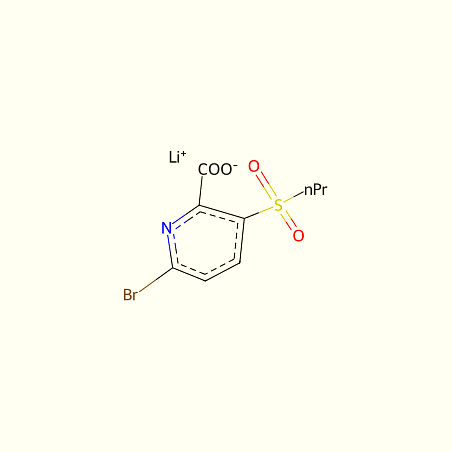 CCCS(=O)(=O)c1ccc(Br)nc1C(=O)[O-].[Li+]